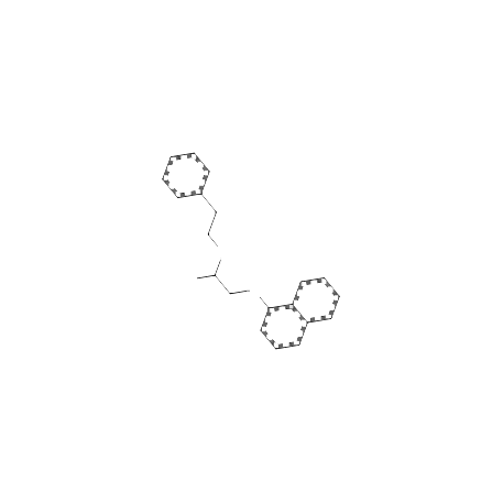 CC(COc1cccc2ccccc12)OCCc1ccccc1